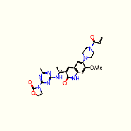 C=CC(=O)N1CCN(c2cc3cc([C@H](C)Nc4nc(C)nc(N5CCOC5=O)n4)c(=O)[nH]c3cc2OC)CC1